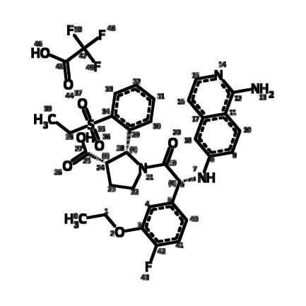 CCOc1cc([C@@H](Nc2ccc3c(N)nccc3c2)C(=O)N2CC[C@H](C(=O)O)[C@@H]2c2ccccc2S(=O)(=O)CC)ccc1F.O=C(O)C(F)(F)F